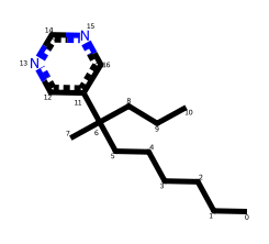 CCCCCCC(C)(CCC)c1cncnc1